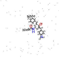 CNCc1ccc(/C=C2\CC(NC(=O)NC)C/C(=C\c3ccc(N(C)C)cc3)C2=O)cc1